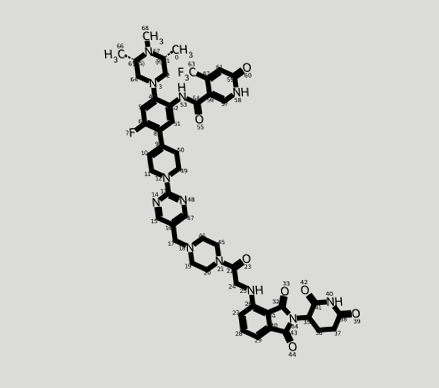 C[C@@H]1CN(c2cc(F)c(C3=CCN(c4ncc(CN5CCN(C(=O)CNc6cccc7c6C(=O)N(C6CCC(=O)NC6=O)C7=O)CC5)cn4)CC3)cc2NC(=O)c2c[nH]c(=O)cc2C(F)(F)F)C[C@H](C)N1C